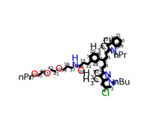 CCCC[n+]1cc(Cl)cc2c1N=C(/C=C/C(=C/C=C1\N(CCC)c3ccccc3C1(C)C)c1cccc(CCC(=O)NCCCOCCOCCOCCC)c1)C2(C)C